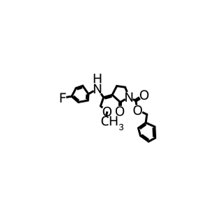 COCC(Nc1ccc(F)cc1)=C1CCN(C(=O)OCc2ccccc2)C1=O